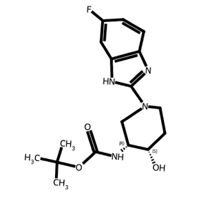 CC(C)(C)OC(=O)N[C@@H]1CN(c2nc3ccc(F)cc3[nH]2)CC[C@@H]1O